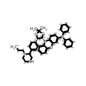 CCCN1CCNCC1c1ccc([C@H]2OC(C)(C)O[C@@H]2N2c3ccccc3Oc3cc(N(c4ccccc4)c4ccccc4)ccc32)cc1